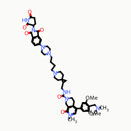 COc1cc(-c2cn(C)c(=O)c3c2CCN(C(=O)NCC2CC24CCN(CCCCN2CCN(c5ccc6c(c5)C(=O)N(C5CCC(=O)NC5=O)C6=O)CC2)CC4)C3)cc(OC)c1CN(C)C